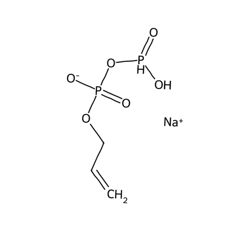 C=CCOP(=O)([O-])O[PH](=O)O.[Na+]